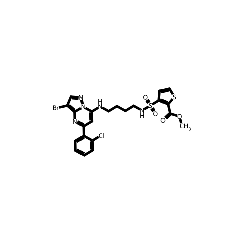 COC(=O)c1sccc1S(=O)(=O)NCCCCNc1cc(-c2ccccc2Cl)nc2c(Br)cnn12